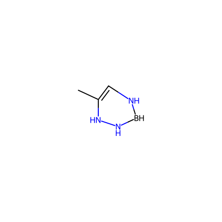 CC1=CNBNN1